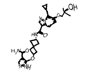 CC(C)(O)COc1ccc2c(C(=O)N[C@H]3CC4(C3)C[C@H](Oc3[nH]ncc3C(N)=O)C4)cnn2c1C1CC1